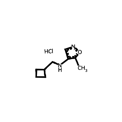 Cc1oncc1NCC1CCC1.Cl